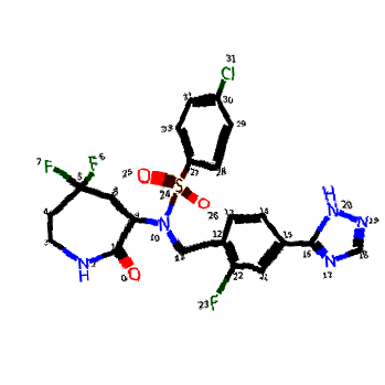 O=C1NCCC(F)(F)CC1N(Cc1ccc(-c2ncn[nH]2)cc1F)S(=O)(=O)c1ccc(Cl)cc1